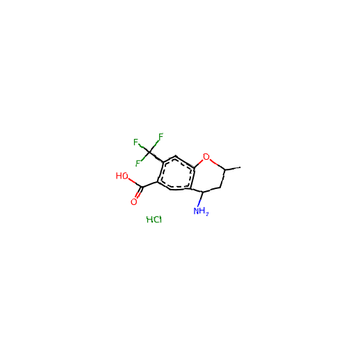 CC1CC(N)c2cc(C(=O)O)c(C(F)(F)F)cc2O1.Cl